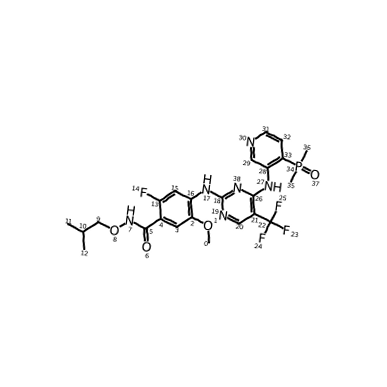 COc1cc(C(=O)NOCC(C)C)c(F)cc1Nc1ncc(C(F)(F)F)c(Nc2cnccc2P(C)(C)=O)n1